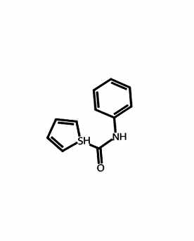 O=C(Nc1ccccc1)[SH]1C=CC=C1